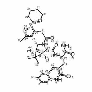 Cc1ccc2[nH]c(=O)c(C[C@H](NC(=O)[C@@H]3[C@@H]4[C@H](CN3C(=O)Cc3cc(C)nn3C3CCCCO3)C4(C)C)C(N)=O)cc2c1